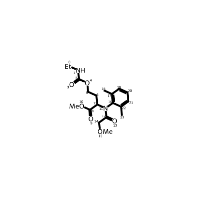 CCNC(=O)OCCC(C(=O)OC)N(C(=O)COC)c1c(C)cccc1C